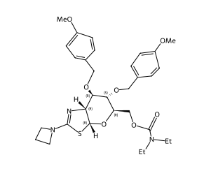 CCN(CC)C(=O)OC[C@H]1O[C@@H]2SC(N3CCC3)=N[C@@H]2[C@@H](OCc2ccc(OC)cc2)[C@@H]1OCc1ccc(OC)cc1